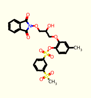 Cc1ccc(OS(=O)(=O)c2cccc(S(C)(=O)=O)c2)c(OCC(O)CON2C(=O)c3ccccc3C2=O)c1